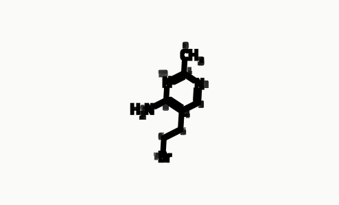 Cc1ncc(CCBr)c(N)n1